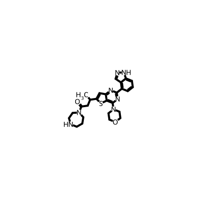 CC(CC(=O)N1CCCNCC1)c1cc2nc(-c3cccc4[nH]ncc34)nc(N3CCOCC3)c2s1